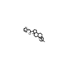 C[C@H]1CC[C@]23C4CC[C@@]5(C)C(CC[C@@H]5C(=O)Cn5nccn5)C4CC[C@@]2(C1)[C@H]3C